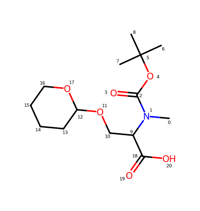 CN(C(=O)OC(C)(C)C)C(COC1CCCCO1)C(=O)O